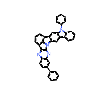 c1ccc(-c2ccc3nc4c5cccc6c7cc8c(cc7n(c4nc3c2)c65)c2ccccc2n8-c2ccccc2)cc1